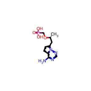 C[C@H](Cc1ccc2c(N)ncnn12)OCP(=O)(O)O